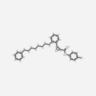 O=C(Oc1ccc(F)cc1)C1OC1c1ccccc1CCCCCCCCc1ccccc1